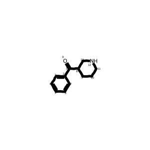 O=C(c1ccccc1)C1[CH]CCNC1